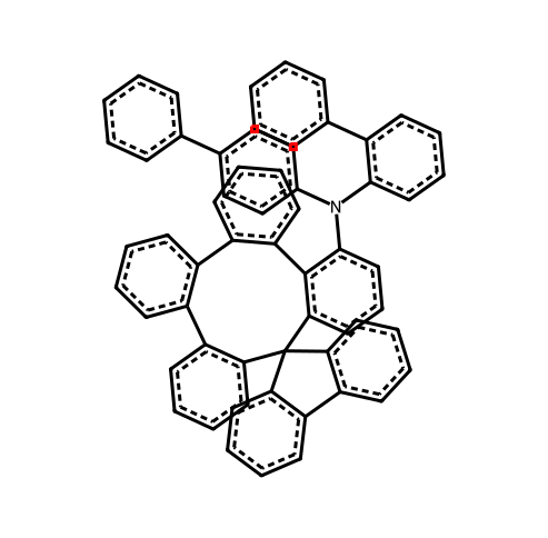 c1ccc(-c2ccc(N(c3ccccc3-c3ccccc3)c3cccc4c3-c3ccccc3-c3ccccc3-c3ccccc3C43c4ccccc4-c4ccccc43)cc2)cc1